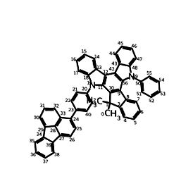 CC1(C)c2ccccc2-c2c1c1c(c3ccccc3n1-c1ccc(-c3ccc4c5c(cccc35)-c3ccccc3-4)cc1)c1c3ccccc3n(-c3ccccc3)c21